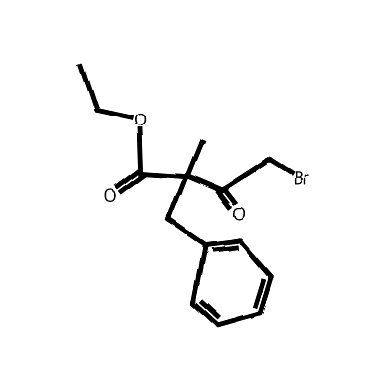 CCOC(=O)C(C)(Cc1ccccc1)C(=O)CBr